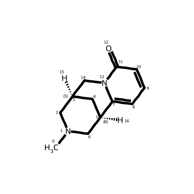 CN1C[C@@H]2C[C@H](C1)c1cccc(=O)n1C2